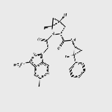 Cc1cc2c(C(=O)O)nn(CC(=O)N3[C@@H]4C[C@@H]4C[C@H]3C(=O)N[C@H]3C[C@]3(F)c3ccccc3)c2cn1